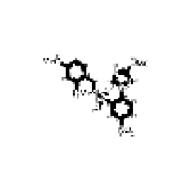 COc1ccc(CNS(=O)(=O)c2cc([N+](=O)[O-])ccc2-n2cnc(OC)n2)c(OC)c1